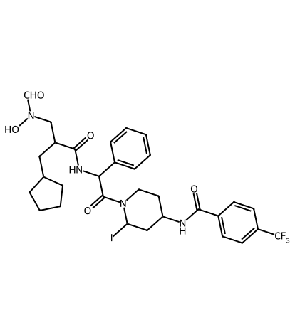 O=CN(O)CC(CC1CCCC1)C(=O)NC(C(=O)N1CCC(NC(=O)c2ccc(C(F)(F)F)cc2)CC1I)c1ccccc1